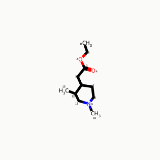 CCOC(=O)CC1CCN(C)CC1C